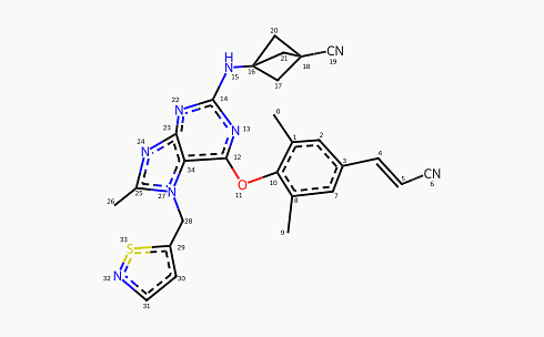 Cc1cc(/C=C/C#N)cc(C)c1Oc1nc(NC23CC(C#N)(C2)C3)nc2nc(C)n(Cc3ccns3)c12